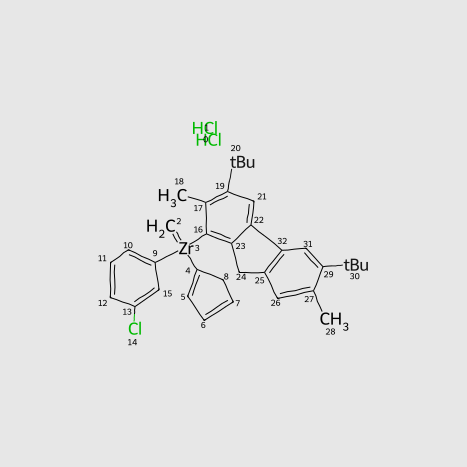 Cl.Cl.[CH2]=[Zr]([C]1=CC=CC1)([c]1cccc(Cl)c1)[c]1c(C)c(C(C)(C)C)cc2c1Cc1cc(C)c(C(C)(C)C)cc1-2